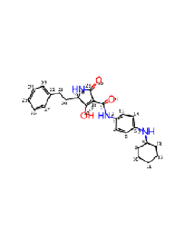 O=C(Nc1ccc(NC2CCCCC2)cc1)C1=C(O)C(CCc2ccccc2)NC1=O